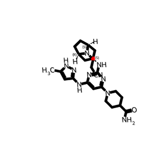 Cc1cc(Nc2cc(N3CCC(C(N)=O)CC3)nc(N[C@@H]3C[C@H]4CC[C@@H](C3)N4CCC#N)n2)n[nH]1